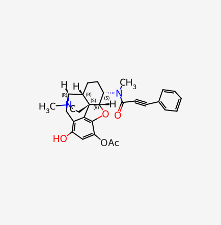 CC(=O)Oc1cc(O)c2c3c1O[C@H]1[C@@H](N(C)C(=O)C#Cc4ccccc4)CC[C@H]4[C@@H](C2)N(C)CC[C@@]341